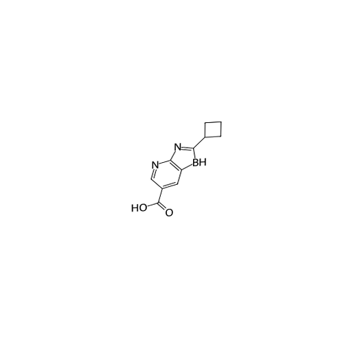 O=C(O)c1cnc2c(c1)BC(C1CCC1)=N2